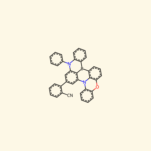 N#Cc1ccccc1-c1cc2c3c(c1)N1c4ccccc4Oc4cccc(c41)B3c1ccccc1N2c1ccccc1